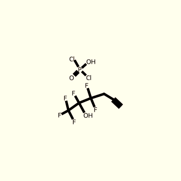 C#CCC(F)(F)C(O)(F)C(F)(F)F.O=P(O)(Cl)Cl